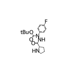 CC(C)(C)OC(=O)N(NC(=O)C1CCCN1)c1ccc(F)cc1